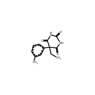 CCC1(c2cccc(C)c2)C(=O)NC(=O)NC1=O